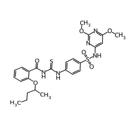 CCCC(C)Oc1ccccc1C(=O)NC(=S)Nc1ccc(S(=O)(=O)Nc2cc(OC)nc(OC)n2)cc1